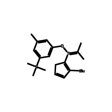 C[C](C)=[Ti]([O]c1cc(C)cc([Si](C)(C)C)c1)[C]1=C(C(C)(C)C)C=CC1